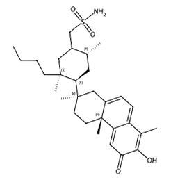 CCCC[C@@]1(C)CC(CS(N)(=O)=O)[C@H](C)C[C@H]1[C@]1(C)CC[C@]2(C)C(=CC=C3C2=CC(=O)C(O)=C3C)C1